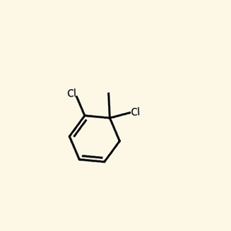 CC1(Cl)CC=CC=C1Cl